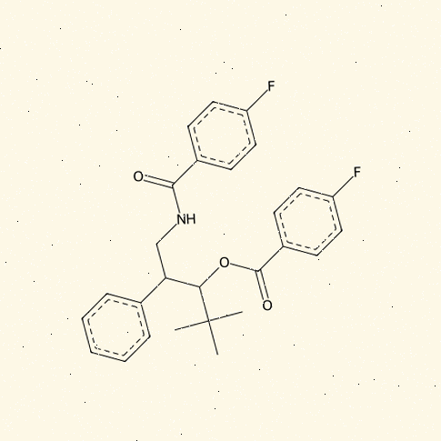 CC(C)(C)C(OC(=O)c1ccc(F)cc1)C(CNC(=O)c1ccc(F)cc1)c1ccccc1